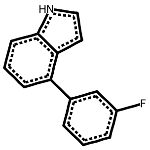 Fc1cccc(-c2cccc3[nH]ccc23)c1